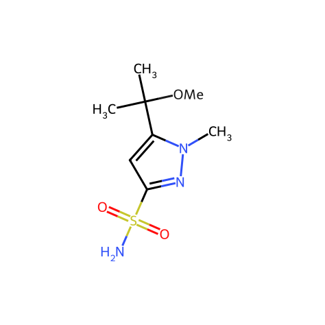 COC(C)(C)c1cc(S(N)(=O)=O)nn1C